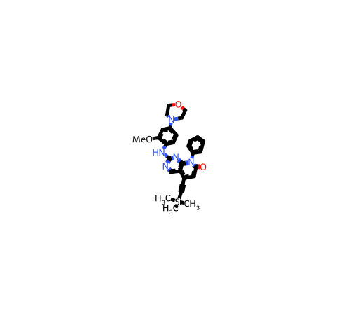 COc1cc(N2CCOCC2)ccc1Nc1ncc2c(C#C[Si](C)(C)C)cc(=O)n(-c3ccccc3)c2n1